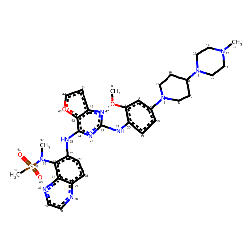 COc1cc(N2CCC(N3CCN(C)CC3)CC2)ccc1Nc1nc(Nc2ccc3nccnc3c2N(C)S(C)(=O)=O)c2occc2n1